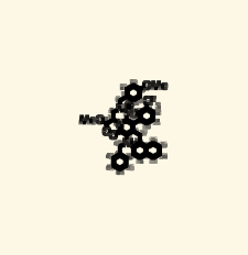 COC(=O)C1CN(Cc2ccc(OC)cc2)S(=O)(=O)c2c(-c3cccc(C(F)(F)F)c3)c(Cc3cccc4ccccc34)c(NCc3ccccc3)c(=O)n21